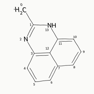 [CH2]C1=Nc2cccc3cccc(c23)N1